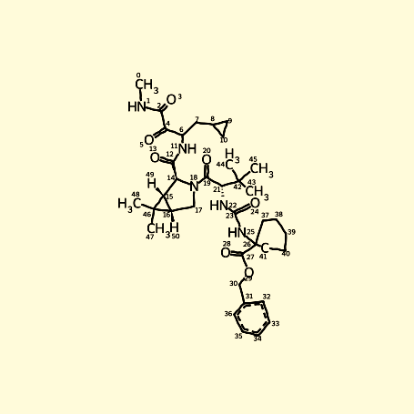 CNC(=O)C(=O)C(CC1CC1)NC(=O)[C@@H]1[C@@H]2[C@H](CN1C(=O)[C@@H](NC(=O)NC1(C(=O)OCc3ccccc3)CCCCC1)C(C)(C)C)C2(C)C